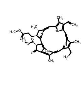 C=Cc1c(C)c2cc3nc(c4c5[nH]c(cc6nc(cc1[nH]2)C(C)=C6CC)c(C)c5C(=O)[C@@H]4C(=O)OC)[C@@H](CCC(=O)OC)[C@@H]3C